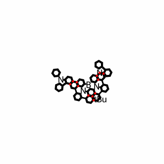 CC(C)(C)c1cc2c3c(c1)N(c1c(-c4ccccc4)cccc1-c1ccccc1)c1cc(-n4c5ccccc5c5ccccc54)ccc1B3c1ccc(-c3ccc4c(c3)c3ccccc3n4-c3ccccc3)cc1N2c1c(-c2ccccc2)cccc1-c1ccccc1